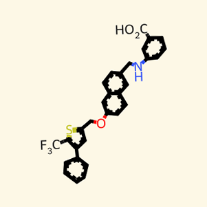 O=C(O)c1cccc(NCc2ccc3cc(OCc4cc(-c5ccccc5)c(C(F)(F)F)s4)ccc3c2)c1